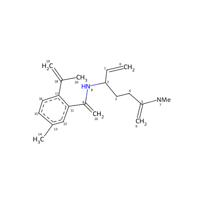 C=CC(CCC(=C)NC)NC(=C)c1cc(C)ccc1C(=C)C